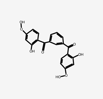 O=C(c1cccc(C(=O)c2ccc(OO)cc2O)c1)c1ccc(OO)cc1O